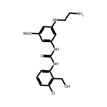 COc1cc(NCCN)cc(NC(=O)Nc2cccc(Cl)c2CO)c1